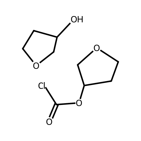 O=C(Cl)OC1CCOC1.OC1CCOC1